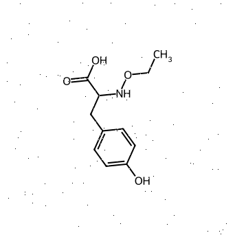 CCONC(Cc1ccc(O)cc1)C(=O)O